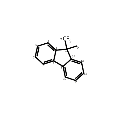 CC1(C(F)(F)F)c2ccccc2-c2ccccc21